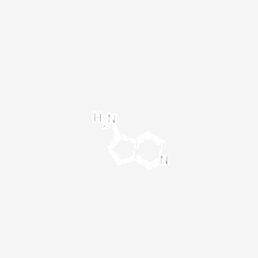 NC1=C=Cc2cnccc21